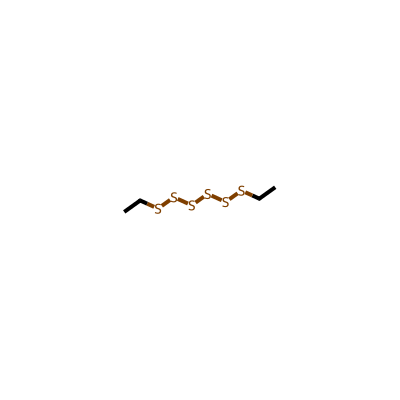 CCSSSSSSCC